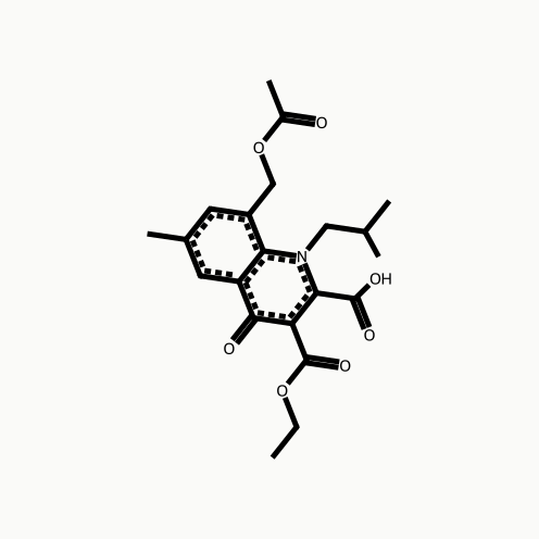 CCOC(=O)c1c(C(=O)O)n(CC(C)C)c2c(COC(C)=O)cc(C)cc2c1=O